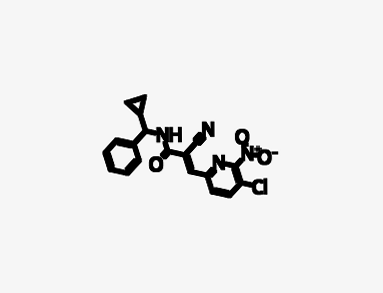 N#C/C(=C\c1ccc(Cl)c([N+](=O)[O-])n1)C(=O)NC(c1ccccc1)C1CC1